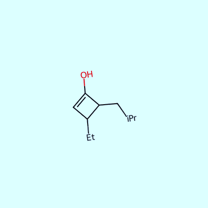 CCC1C=C(O)C1CC(C)C